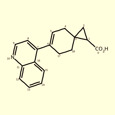 O=C(O)C1CC12CC=C(c1ccnc3ccccc13)CC2